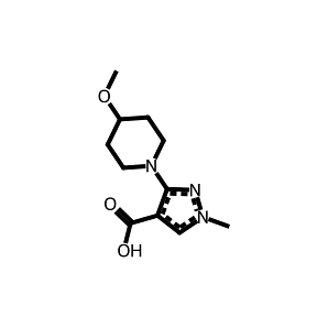 COC1CCN(c2nn(C)cc2C(=O)O)CC1